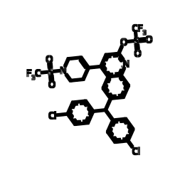 O=S(=O)(Oc1cc(C2=CCN(S(=O)(=O)C(F)(F)F)CC2)c2cc(C(c3ccc(Cl)cc3)c3ccc(Cl)cc3)ccc2n1)C(F)(F)F